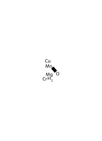 [Cr].[Cu].[MgH2].[O]=[Mn]